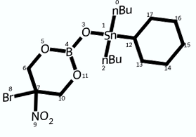 CCC[CH2][Sn]([CH2]CCC)([O]B1OCC(Br)([N+](=O)[O-])CO1)[CH]1CCCCC1